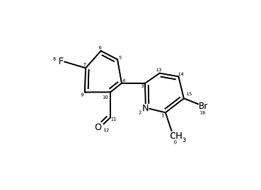 Cc1nc(-c2ccc(F)cc2C=O)ccc1Br